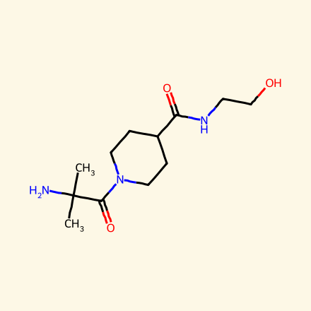 CC(C)(N)C(=O)N1CCC(C(=O)NCCO)CC1